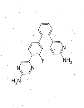 Nc1ccc(-c2ccccc2-c2ccc(-c3cnc(N)cn3)c(F)c2)cn1